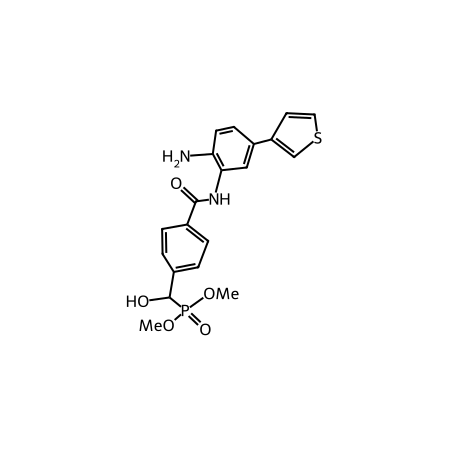 COP(=O)(OC)C(O)c1ccc(C(=O)Nc2cc(-c3ccsc3)ccc2N)cc1